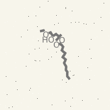 CCCCCCCCCCCC(=O)OC(C)(C)CC(O)COCC